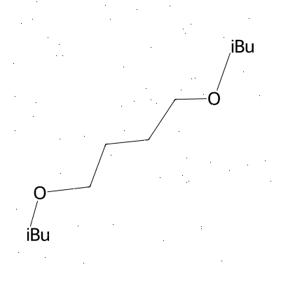 CCC(C)OCCCCOC(C)CC